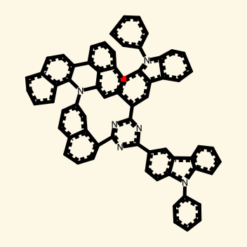 c1ccc(-n2c3ccccc3c3cc(-c4nc(-c5ccc6c(c5)c5ccccc5n6-c5ccccc5)nc(-c5cccc6ccc(N7c8c(ccc9ccccc89)-c8cccc9cccc7c89)cc56)n4)ccc32)cc1